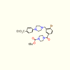 CCOC(=O)c1ccc(N2CCN(Cc3cc(C(=O)N4CCN(C(=O)OC(C)(C)C)CC4)ccc3Br)CC2)cc1